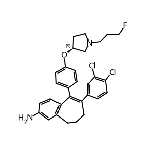 Nc1ccc2c(c1)CCCC(c1ccc(Cl)c(Cl)c1)=C2c1ccc(O[C@H]2CCN(CCCF)C2)cc1